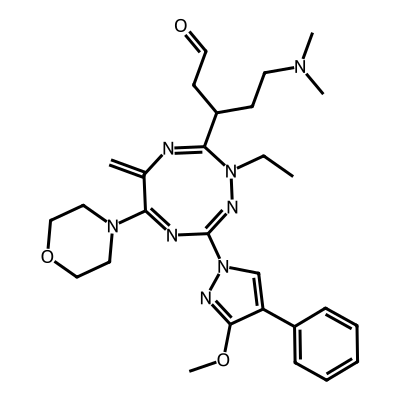 C=C1/N=C(/C(CC=O)CCN(C)C)N(CC)/N=C(n2cc(-c3ccccc3)c(OC)n2)\N=C/1N1CCOCC1